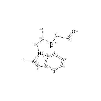 Cc1cc2ccccc2n1C[C@H](C)NC[C]=O